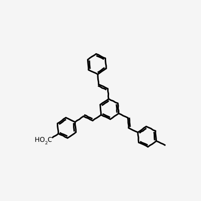 Cc1ccc(/C=C/c2cc(/C=C/c3ccccc3)cc(/C=C/c3ccc(C(=O)O)cc3)c2)cc1